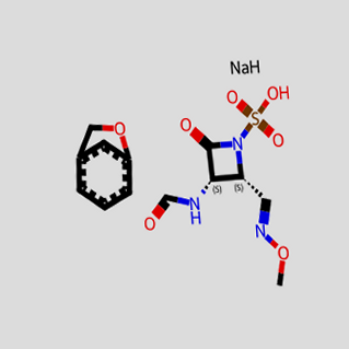 CON=C[C@@H]1[C@H](NC=O)C(=O)N1S(=O)(=O)O.[NaH].c1cc2cc(c1)OC2